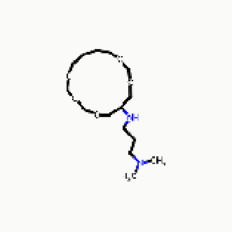 CN(C)CCCNC1CCCCCCCCCCCCCC1